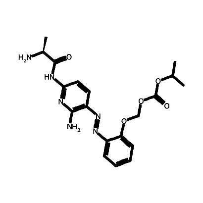 CC(C)OC(=O)OCOc1ccccc1/N=N/c1ccc(NC(=O)[C@H](C)N)nc1N